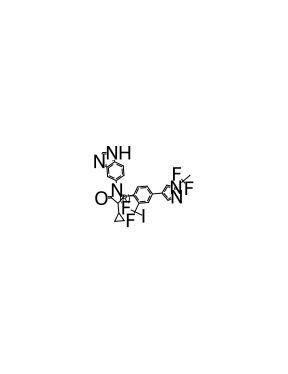 CC(F)(F)n1cc(-c2ccc([C@H]3C(C4CC4)C(=O)N3c3ccc4[nH]cnc4c3)c(C(F)(F)I)c2)cn1